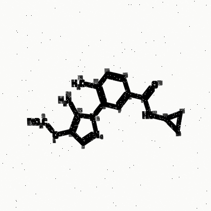 CCOC(=O)Oc1cnn(-c2cc(C(=O)NC3CC3)ccc2C)c1N